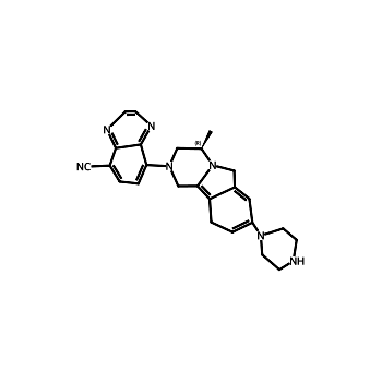 C[C@@H]1CN(c2ccc(C#N)c3nccnc23)CC2=C3CC=C(N4CCNCC4)C=C3CN21